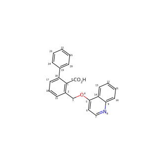 O=C(O)c1c(COc2ccnc3ccccc23)cccc1-c1ccccc1